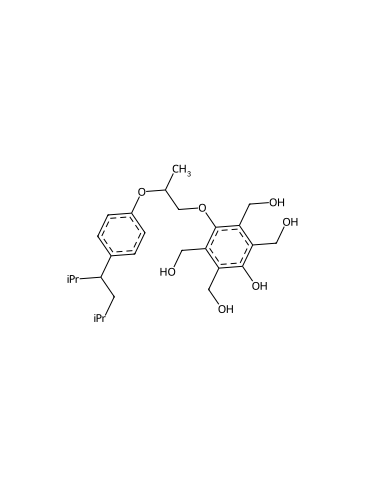 CC(C)CC(c1ccc(OC(C)COc2c(CO)c(CO)c(O)c(CO)c2CO)cc1)C(C)C